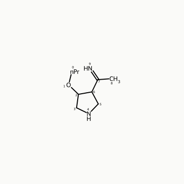 CCCOC1CNCC1C(C)=N